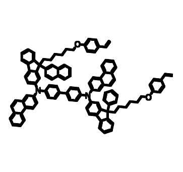 C=Cc1ccc(OCCCCCCC2(c3ccccc3)c3ccccc3-c3ccc(N(c4ccc(-c5ccc(N(c6ccc7c(c6)C(CCCCCCOc6ccc(C=C)cc6)(c6ccc8ccccc8c6)c6ccccc6-7)c6ccc7c(ccc8ccccc87)c6)cc5)cc4)c4ccc5c(ccc6ccccc65)c4)cc32)cc1